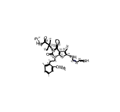 COc1ccccc1CCn1c(=O)n(C(C)(C)C(=O)NC(C)C)c(=O)c2c(C)c(N/C=C\C=N)sc21